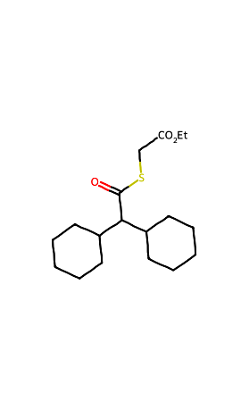 CCOC(=O)CSC(=O)C(C1CCCCC1)C1CCCCC1